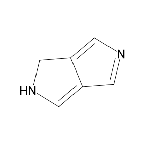 C1=NC=C2CNC=C12